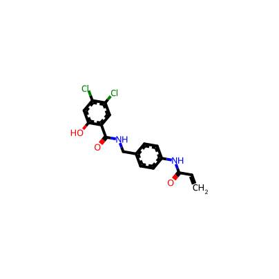 C=CC(=O)Nc1ccc(CNC(=O)c2cc(Cl)c(Cl)cc2O)cc1